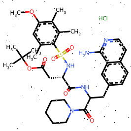 COc1cc(C)c(S(=O)(=O)N[C@@H](CC(=O)OC(C)(C)C)C(=O)NC(Cc2ccc3ccnc(N)c3c2)C(=O)N2CCCCC2)c(C)c1C.Cl